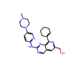 CN1CCN(c2ccc(Nc3ncc4cc(CO)nc(C5=CCCCC5)c4n3)nc2)CC1